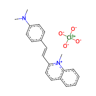 CN(C)c1ccc(C=Cc2ccc3ccccc3[n+]2C)cc1.[O-][Cl+3]([O-])([O-])[O-]